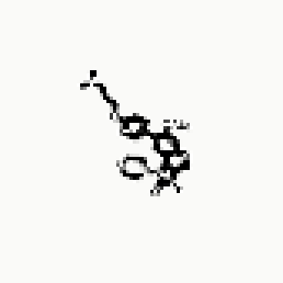 COc1cc2ncc3c(c2cc1-c1ccc(OCCCN(C)C)nc1)n(N1CCOCC1)c(=O)n3C